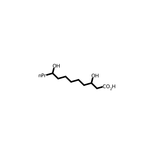 CCCC(O)CCCCCC(O)CC(=O)O